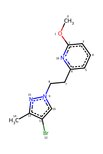 COc1cccc(CCn2cc(Br)c(C)n2)n1